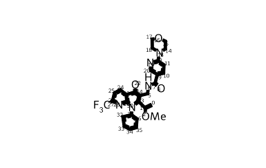 C=C(OC)c1c(CNC(=O)c2ccc(N3CCOCC3)nc2)c(=O)c2ccc(C(F)(F)F)nc2n1-c1ccccc1